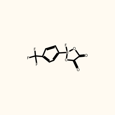 O=C1O[B-](F)(c2ccc(C(F)(F)F)cc2)OC1=O